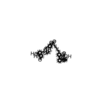 CC(C)(C)[Si](C)(C)O[C@H](CNCc1ccc2c(c1)oc(=O)n2CCC/C=C/c1ccc(-c2ccccc2)c(N(C(=O)O)[C@H]2CN3CCC2CC3)c1)c1ccc(O)c2[nH]c(=O)ccc12